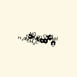 C[C@H](C(=O)N[C@H](CO)c1ccnc(N(C)C)c1)N1Cc2ccc(-c3cc(NC4CCOCC4)ncc3Cl)cc2C1=O